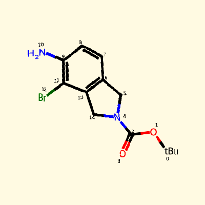 CC(C)(C)OC(=O)N1Cc2ccc(N)c(Br)c2C1